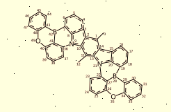 Cc1c2c3cccc4c3n(c2c(C)c2c1c1cccc3c1n2-c1cccc2c1B3c1ccccc1O2)-c1cccc2c1B4c1ccccc1O2